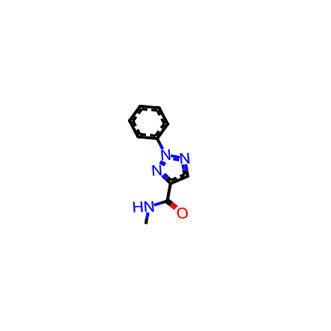 CNC(=O)c1cnn(-c2ccccc2)n1